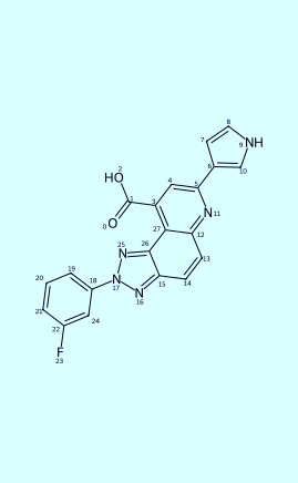 O=C(O)c1cc(-c2cc[nH]c2)nc2ccc3nn(-c4cccc(F)c4)nc3c12